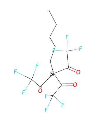 CCCCC[Si](C(=O)C(F)(F)F)(C(=O)C(F)(F)F)C(=O)C(F)(F)F